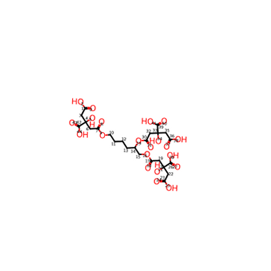 O=C(O)CC(O)(CC(=O)OCCCCC(COC(=O)CC(O)(CC(=O)O)C(=O)O)OC(=O)CC(O)(CC(=O)O)C(=O)O)C(=O)O